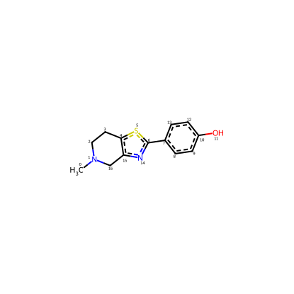 CN1CCc2sc(-c3ccc(O)cc3)nc2C1